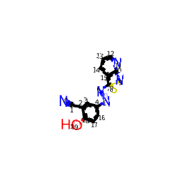 N#Cc1cc(/N=N/c2snc3ncccc23)ccc1O